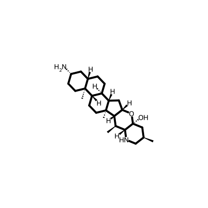 C[C@H]1CN[C@@H]2[C@@H](C)[C@H]3[C@H](C[C@H]4[C@@H]5CC[C@H]6C[C@@H](N)CC[C@]6(C)[C@H]5CC[C@]34C)O[C@@]2(O)C1